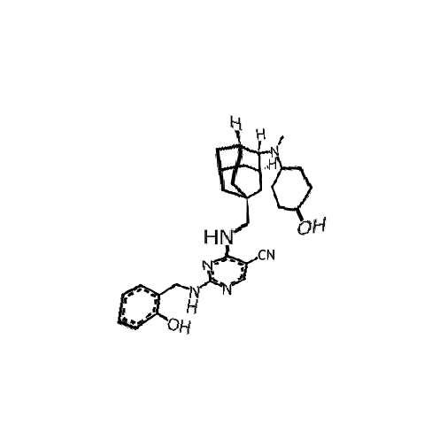 CN(C1CCC(O)CC1)[C@@H]1[C@@H]2CC3C[C@H]1C[C@@](CNc1nc(NCc4ccccc4O)ncc1C#N)(C3)C2